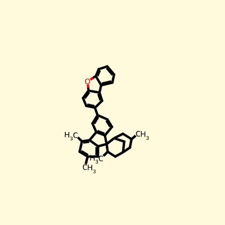 Cc1cc(C)c2c(c1)C1(c3ccc(-c4ccc5oc6ccccc6c5c4)cc3-2)C(C)CC2CC(C)CC1C2